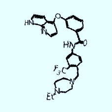 CCN1CCN(Cc2ccc(NC(=O)c3cccc(Oc4ccnc5[nH]ccc45)c3)cc2C(F)(F)F)CC1